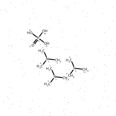 CN(C)C.CN(C)C.CN(C)C.O=P(O)(O)O